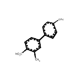 CC(=O)Oc1ccc(-c2ccc(C(=O)O)c(C)c2)cc1